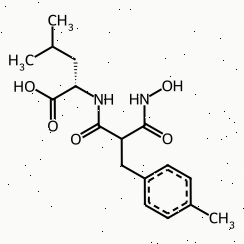 Cc1ccc(CC(C(=O)NO)C(=O)N[C@@H](CC(C)C)C(=O)O)cc1